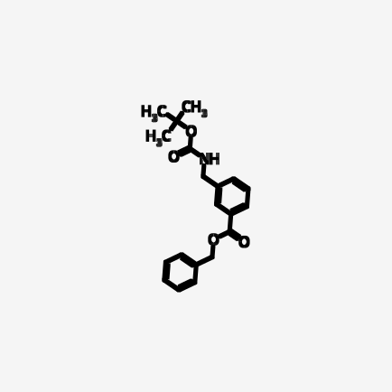 CC(C)(C)OC(=O)NCc1cccc(C(=O)OCc2ccccc2)c1